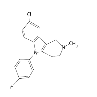 CN1CCc2c(c3cc(Cl)ccc3n2-c2ccc(F)cc2)C1